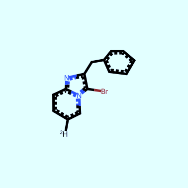 [2H]c1ccc2nc(Cc3ccccc3)c(Br)n2c1